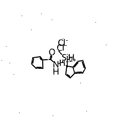 C[SiH](C)[Hf+2]([NH]C(=O)c1ccccc1)[CH]1C=Cc2ccccc21.[Cl-].[Cl-]